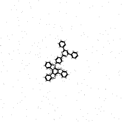 c1ccc(-c2cc(-c3ccccc3)nc(-c3ccc(-n4c5ccccc5c5c6c7ccccc7oc6c6c7ccccc7oc6c54)cc3)n2)cc1